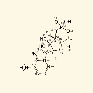 C[C@@]1(c2cnc3c(N)ncnn23)O[C@@H]2COP(=O)(O)O[C@H]2[C@]1(O)C#N